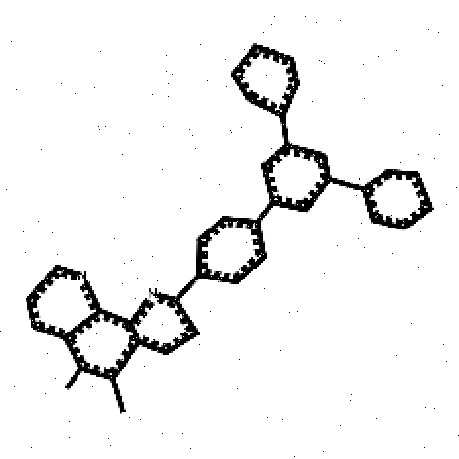 Cc1c(C)c2ccc(-c3ccc(-c4cc(-c5ccccc5)cc(-c5ccccc5)c4)cc3)nc2c2ncccc12